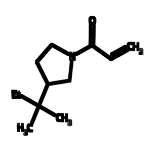 C=CC(=O)N1CCC(C(C)(C)CC)C1